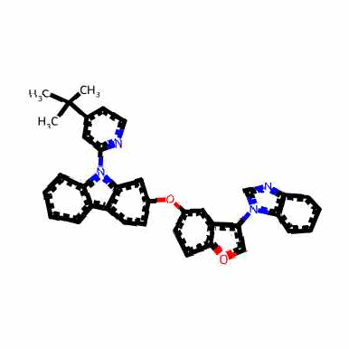 CC(C)(C)c1ccnc(-n2c3ccccc3c3ccc(Oc4ccc5occ(-n6cnc7ccccc76)c5c4)cc32)c1